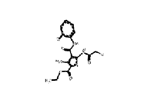 CCOC(=O)c1sc(NC(=O)CCl)c(C(=O)Nc2ccccc2Cl)c1C